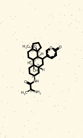 C[C@H](N)C(=O)N[C@H]1CC[C@@]2(C)[C@H](CC(c3ccc(=O)oc3)[C@H]3[C@@H]2CC[C@@]2(C)CCC[C@]32O)C1